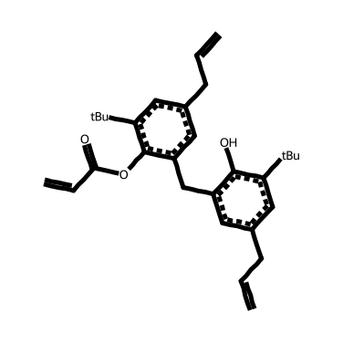 C=CCc1cc(Cc2cc(CC=C)cc(C(C)(C)C)c2OC(=O)C=C)c(O)c(C(C)(C)C)c1